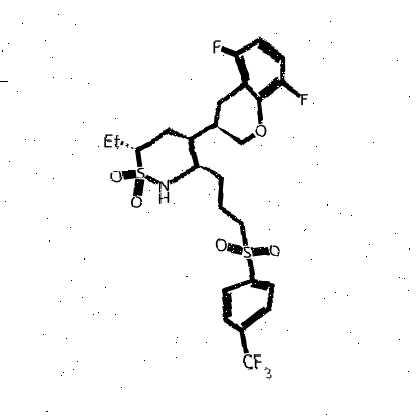 CC[C@@H]1C[C@@H]([C@@H]2COc3c(F)ccc(F)c3C2)[C@@H](CCCS(=O)(=O)c2ccc(C(F)(F)F)cc2)NS1(=O)=O